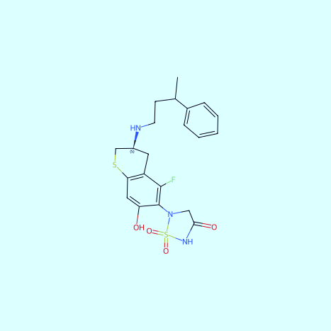 CC(CCN[C@@H]1CSc2cc(O)c(N3CC(=O)NS3(=O)=O)c(F)c2C1)c1ccccc1